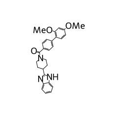 COc1ccc(-c2ccc(C(=O)N3CCC(c4nc5ccccc5[nH]4)CC3)cc2)c(OC)c1